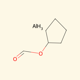 O=COC1CCCC1.[AlH3]